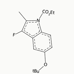 CCOC(=O)n1c(C)c(F)c2cc(OC(C)(C)C)ccc21